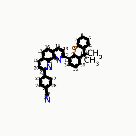 CC1(C)c2ccccc2Sc2c(-c3ccc4ccc5ccc(-c6ccc(C#N)cc6)nc5c4n3)cccc21